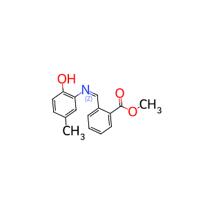 COC(=O)c1ccccc1/C=N\c1cc(C)ccc1O